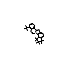 CC(C)(C)c1cccc2c1ncn1c2nc2ccc3c(c21)C(C)(C)C(C)(C)C3(C)C